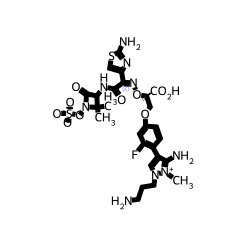 C[n+]1c(N)c(-c2ccc(OC[C@H](O/N=C(\C(=O)NC3C(=O)N(OS(=O)(=O)[O-])C3(C)C)c3csc(N)n3)C(=O)O)cc2F)cn1CCCN